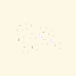 c1ccc(N(c2cc3c(c4c2oc2ccccc24)-c2c(ccc4oc5ccccc5c24)C3(c2ccccc2)c2ccccc2)c2cccc3c2c2ccccc2n3-c2ccccc2)cc1